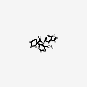 Cc1cc(C2(C(=O)Nc3cnc4sccc4c3)CCCCC2)ncn1